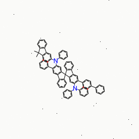 CC1(C)c2ccccc2-c2cc(N(c3ccccc3)c3cc4c(cc3-c3ccccc3)-c3ccccc3C43c4ccccc4-c4cc(-c5ccc(-c6ccccc6)cc5)c(N(c5ccccc5)c5ccccc5)cc43)ccc21